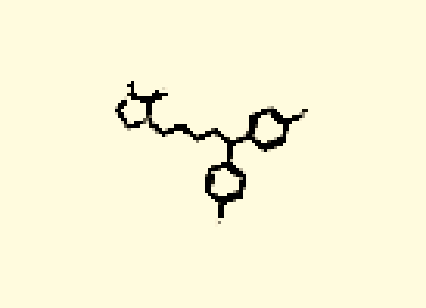 O=C1NCCN1CCCCC(c1ccc(F)cc1)c1ccc(F)cc1